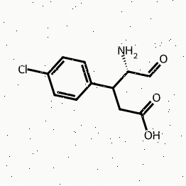 N[C@H](C=O)C(CC(=O)O)c1ccc(Cl)cc1